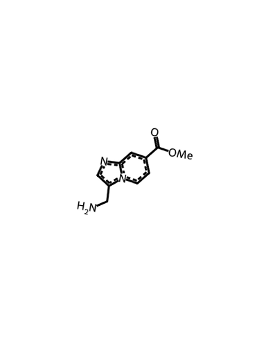 COC(=O)c1ccn2c(CN)cnc2c1